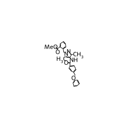 COC(=O)c1ccccc1Cn1nc(C)c(NC(=O)c2ccc(COc3ccccc3)cc2)c1C